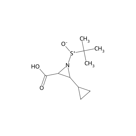 CC(C)(C)[S+]([O-])N1C(C(=O)O)C1C1CC1